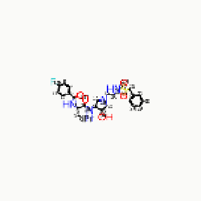 CC(C)C[C@H](NC(=O)c1ccc(F)cc1)C(=O)NC1CN(CCNS(=O)(=O)Cc2ccccc2)CC1O